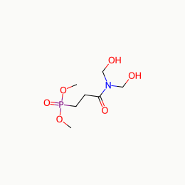 COP(=O)(CCC(=O)N(CO)CO)OC